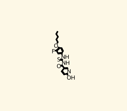 CCCCCOc1ccc(NC(=S)NC(=O)c2ccc(O)nc2)cc1F